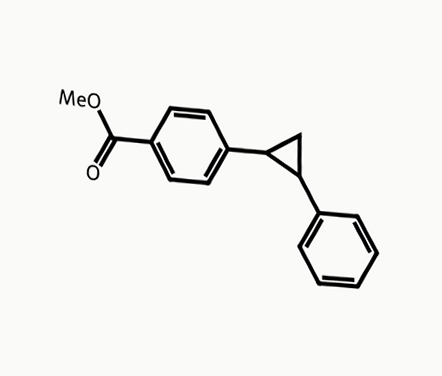 COC(=O)c1ccc(C2CC2c2ccccc2)cc1